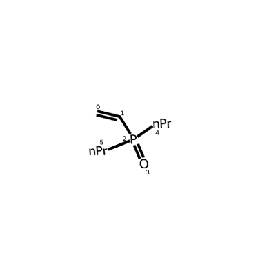 C=CP(=O)(CCC)CCC